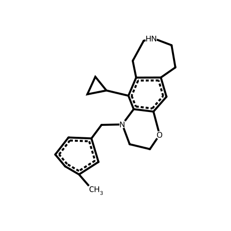 Cc1cccc(CN2CCOc3cc4c(c(C5CC5)c32)CCNCC4)c1